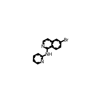 Brc1ccc2c(Nc3ccccn3)nccc2c1